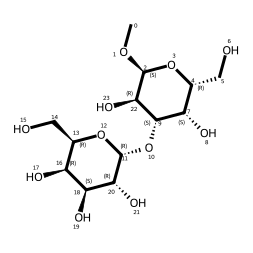 CO[C@H]1O[C@H](CO)[C@H](O)[C@H](O[C@H]2O[C@H](CO)[C@H](O)[C@H](O)[C@H]2O)[C@H]1O